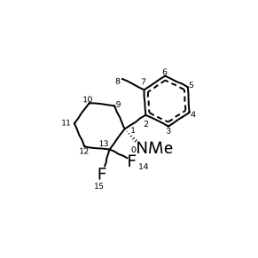 CN[C@@]1(c2ccccc2C)CCCCC1(F)F